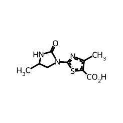 Cc1nc(N2CC(C)NC2=O)sc1C(=O)O